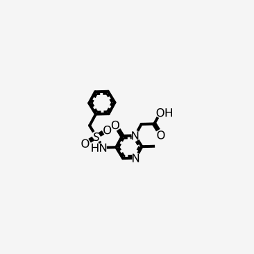 Cc1ncc(NS(=O)(=O)Cc2ccccc2)c(=O)n1CC(=O)O